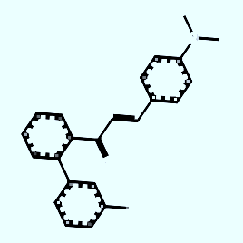 CN(C)c1ccc(/C=C/C(=O)c2ccccc2-c2cccc(F)c2)cc1